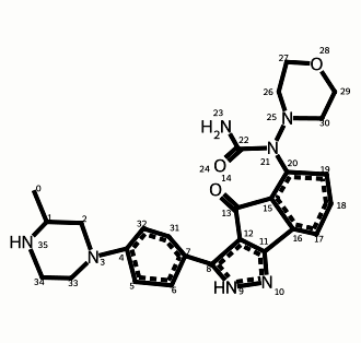 CC1CN(c2ccc(-c3[nH]nc4c3C(=O)c3c-4cccc3N(C(N)=O)N3CCOCC3)cc2)CCN1